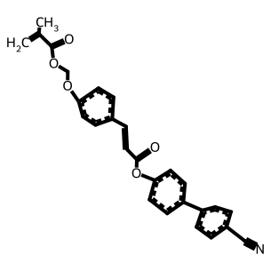 C=C(C)C(=O)OCOc1ccc(C=CC(=O)Oc2ccc(-c3ccc(C#N)cc3)cc2)cc1